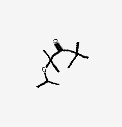 CC(C)OC(C)(C)C(=O)C(C)(C)C